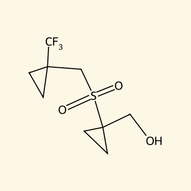 O=S(=O)(CC1(C(F)(F)F)CC1)C1(CO)CC1